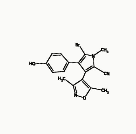 Cc1noc(C)c1-c1c(-c2ccc(O)cc2)c(Br)n(C)c1C#N